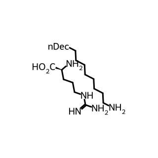 CCCCCCCCCCCCCCCCCCN.N=C(N)NCCC[C@H](N)C(=O)O